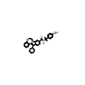 CC(C)(NC(=O)c1ccc2c(C3CCCCC3)c3n(c2c1)CCOc1ccccc1-3)c1ccc(O)cc1